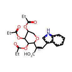 CCC(=O)OC1COC(/C(=C\c2c[nH]c3ccccc23)C(=O)O)C(OC(=O)CC)C1OC(=O)CC